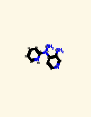 Nc1cnccc1N(N)c1ccccn1